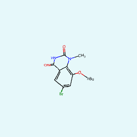 CCCCOc1cc(Br)cc2c(=O)[nH]c(=O)n(C)c12